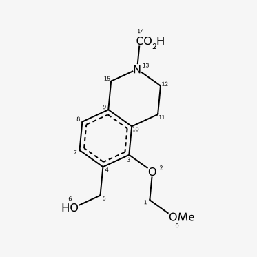 COCOc1c(CO)ccc2c1CCN(C(=O)O)C2